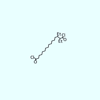 CCC(CCCCCCCCCCCCC(=O)Cl)C(CC)C(=O)Cl